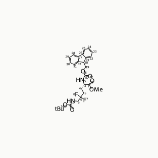 COC(=O)[C@H](CCC(F)(F)CNC(=O)OC(C)(C)C)NC(=O)OCC1c2ccccc2-c2ccccc21